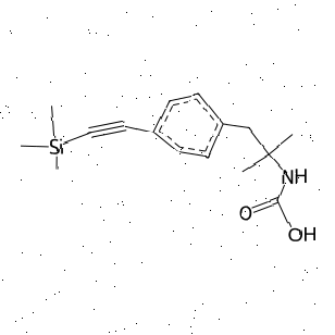 CC(C)(Cc1ccc(C#C[Si](C)(C)C)cc1)NC(=O)O